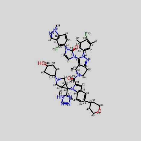 Cc1cc(-n2nc3c(c2-n2ccn(-c4ccc5c(cnn5C)c4F)c2=O)[C@H](C)N(C(=O)c2cc4cc(C5CCOCC5)ccc4n2C2(c4nnn[nH]4)[C@@H]4CN(C5CCC(O)CC5)C[C@@H]42)CC3)cc(C)c1F